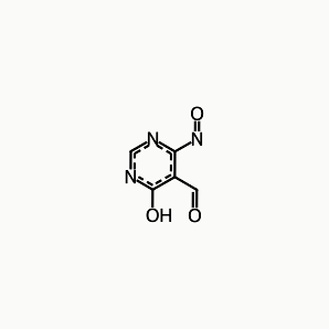 O=Cc1c(O)ncnc1N=O